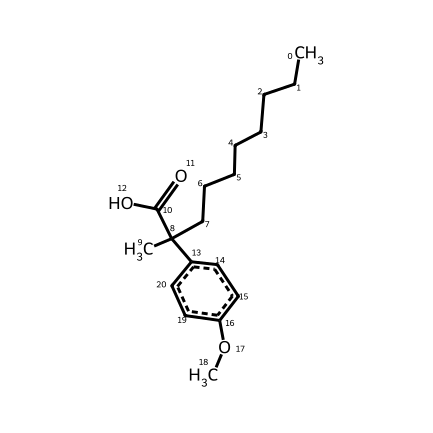 CCCCCCCCC(C)(C(=O)O)c1ccc(OC)cc1